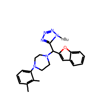 CCCCn1nnnc1C(c1cc2ccccc2o1)N1CCN(c2cccc(C)c2C)CC1